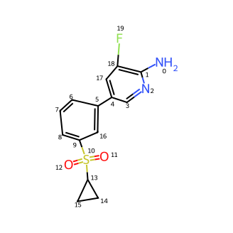 Nc1ncc(-c2cccc(S(=O)(=O)C3CC3)c2)cc1F